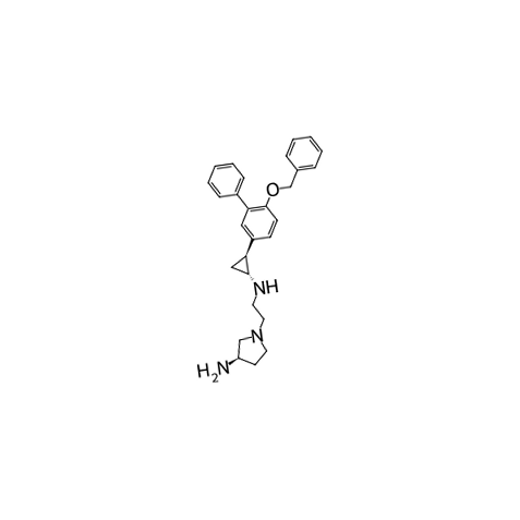 N[C@@H]1CCN(CCN[C@@H]2C[C@H]2c2ccc(OCc3ccccc3)c(-c3ccccc3)c2)C1